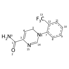 NC(=O)C1=CCN(c2ccccc2C(F)(F)F)C=N1